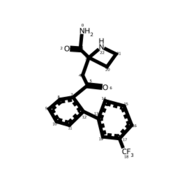 NC(=O)C1([CH]C(=O)c2ccccc2-c2cccc(C(F)(F)F)c2)CCN1